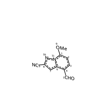 COc1ccc(C=O)c2cc(C#N)nn12